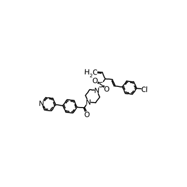 C=CC(C=Cc1ccc(Cl)cc1)S(=O)(=O)N1CCN(C(=O)c2ccc(-c3ccncc3)cc2)CC1